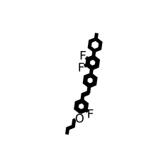 CCCCOc1ccc(/C=C/c2ccc(-c3ccc(C4CCC(C)CC4)c(F)c3F)cc2)cc1F